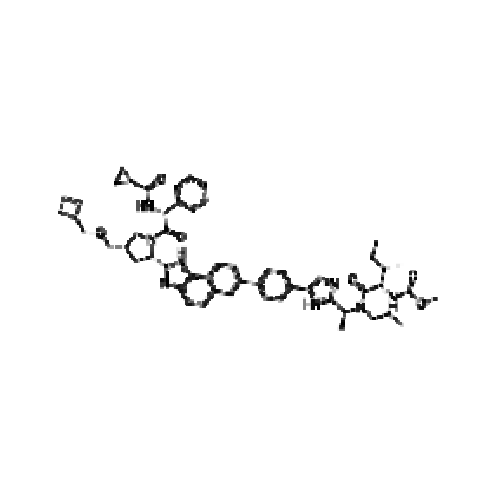 CCCN(C(=O)[C@@H](NC(=O)OC)[C@@H](C)CC)[C@@H](C)c1ncc(-c2ccc(-c3ccc4c(ccc5nc([C@@H]6C[C@H](COCC7C=CC7)CN6C(=O)[C@H](NC(=O)C6CC6)c6ccccc6)[nH]c54)c3)cc2)[nH]1